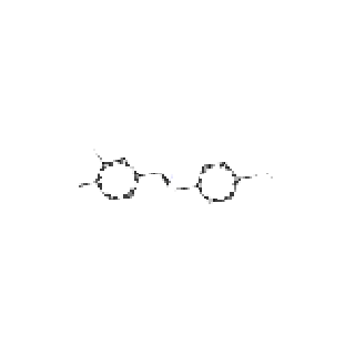 CCc1cc(/C=N/c2ccc(C#N)cc2)ccc1F